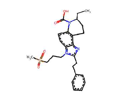 CCC1CCc2c(ccc3c2nc(CCc2ccccc2)n3CCCS(C)(=O)=O)N1C(=O)O